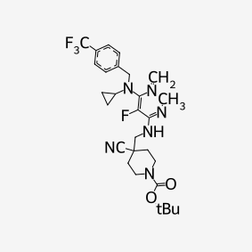 C=N/C(=C(F)\C(=N/C)NCC1(C#N)CCN(C(=O)OC(C)(C)C)CC1)N(Cc1ccc(C(F)(F)F)cc1)C1CC1